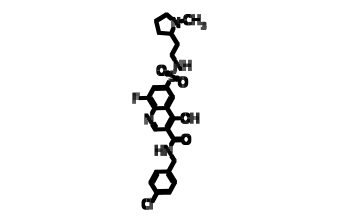 CN1CCCC1CCNS(=O)(=O)c1cc(F)c2ncc(C(=O)NCc3ccc(Cl)cc3)c(O)c2c1